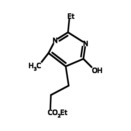 CCOC(=O)CCc1c(C)nc(CC)nc1O